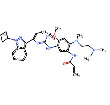 C=CC(=O)Nc1cc(N/C(N=C)=N/C(=C\C)c2nn(C34CC(C3)C4)c3ccccc23)c(OC)cc1N(C)CCN(C)C